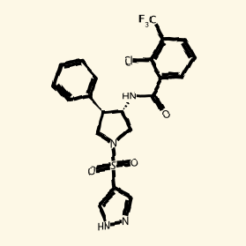 O=C(N[C@@H]1CN(S(=O)(=O)c2cn[nH]c2)C[C@H]1c1ccccc1)c1cccc(C(F)(F)F)c1Cl